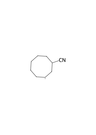 N#CC1C[CH]CCCCC1